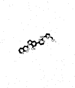 N#Cc1cc(-c2ccnc(Nc3ccn(CC(F)(F)F)n3)n2)cc2c1N(C(=O)Cc1cccnc1Cl)CC2